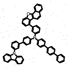 c1ccc(-c2ccc(-c3ccc(N(c4ccc(-c5cccc(-n6c7ccccc7c7ccccc76)c5)cc4)c4cccc(-c5cccc6oc7c8ccccc8ccc7c56)c4)cc3)cc2)cc1